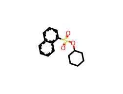 O=S(=O)(OC1CCCCC1)c1cccc2ccccc12